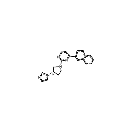 c1ccc2cc(-c3ccnc(N4CC[C@H](n5ccnc5)C4)n3)ccc2c1